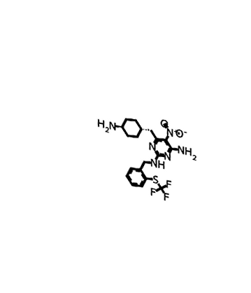 Nc1nc(NCc2ccccc2SC(F)(F)F)nc(C[C@H]2CC[C@H](N)CC2)c1[N+](=O)[O-]